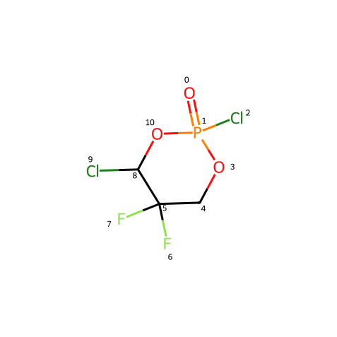 O=P1(Cl)OCC(F)(F)C(Cl)O1